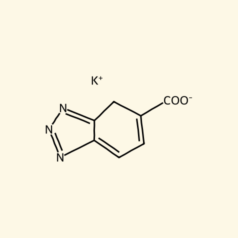 O=C([O-])C1=CC=C2N=NN=C2C1.[K+]